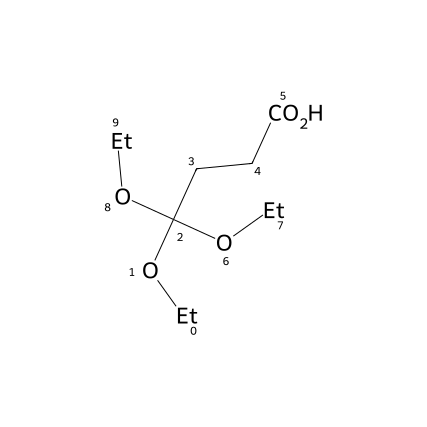 CCOC(CCC(=O)O)(OCC)OCC